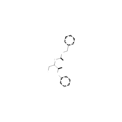 NCC(NC(=O)OCc1ccccc1)C(=O)Oc1ccccc1